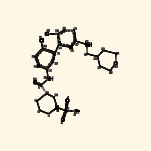 CC(C)S(=O)(=O)N1CCC[C@H](C(=O)Nc2cc(-c3nc(NCC4CCOCC4)ccc3Cl)c(Cl)cn2)C1